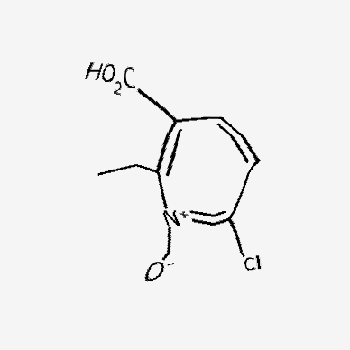 Cc1c(C(=O)O)ccc(Cl)[n+]1[O-]